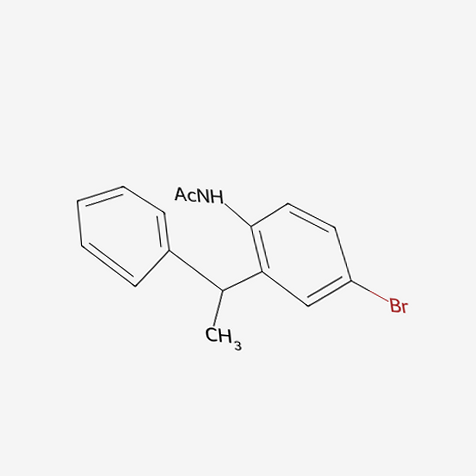 CC(=O)Nc1ccc(Br)cc1C(C)c1ccccc1